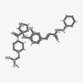 CN(C)C[C@H]1CC[C@H](C(=O)[C@@]2(Nc3ncc(/C=C/C(=O)NOC4CCCCO4)cc3Cl)CCNC2)CC1